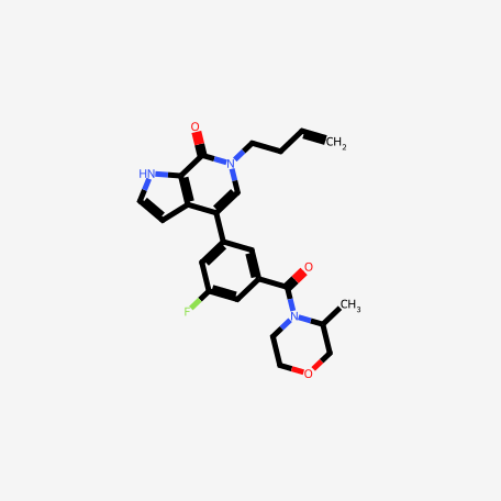 C=CCCn1cc(-c2cc(F)cc(C(=O)N3CCOCC3C)c2)c2cc[nH]c2c1=O